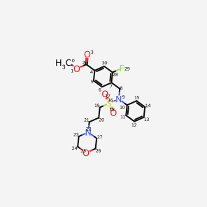 COC(=O)c1ccc(CN(c2ccccc2)S(=O)(=O)CCCN2CCOCC2)c(F)c1